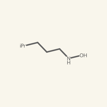 CC(C)CCCNO